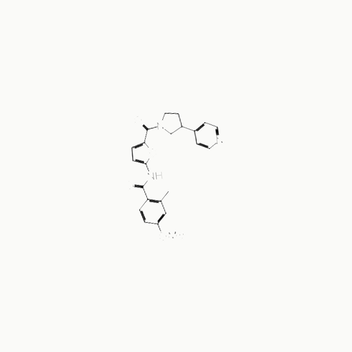 COc1ccc(C(=O)Nc2ccc(C(=O)N3CCC(c4ccncc4)C3)o2)c(C)c1